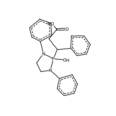 O=C(O)CC(c1ccccc1)[P]1(O)N(c2ccccc2)CCN1c1ccccc1